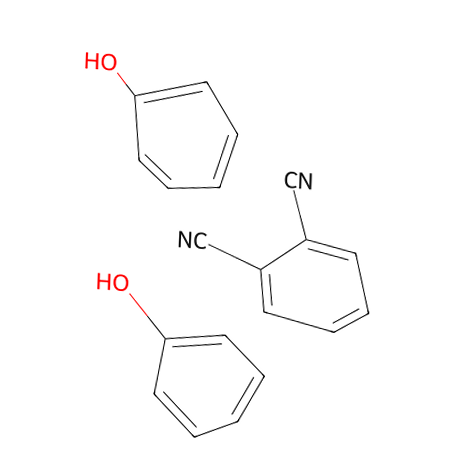 N#Cc1ccccc1C#N.Oc1ccccc1.Oc1ccccc1